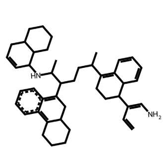 C=C/C(=C\N)C1CCC(C(C)CCC(C2=c3ccccc3=C3CCCCC3C2)C(C)NC2C=CCC3CCCCC32)=C2C=CC=CC21